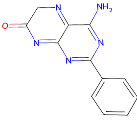 Nc1nc(-c2ccccc2)nc2c1=NCC(=O)N=2